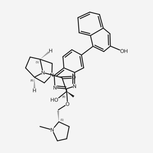 C[C@@H](O)C(=O)N1C[C@H]2CC[C@@H](C1)N2c1nc(OC[C@@H]2CCCN2C)nc2cc(-c3cc(O)cc4ccccc34)ccc12